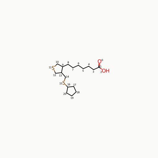 O=C(O)CCCCCCC1CSCC1CSC1CCCC1